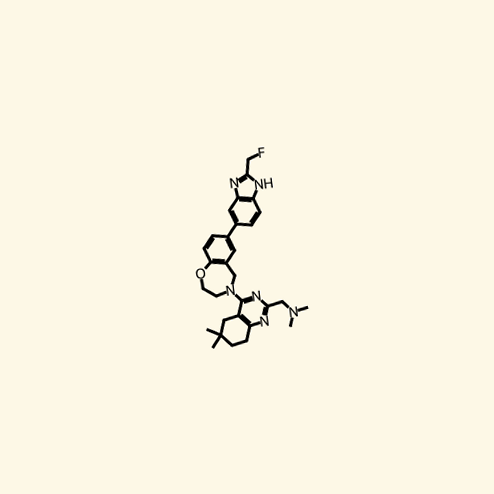 CN(C)Cc1nc2c(c(N3CCOc4ccc(-c5ccc6[nH]c(CF)nc6c5)cc4C3)n1)CC(C)(C)CC2